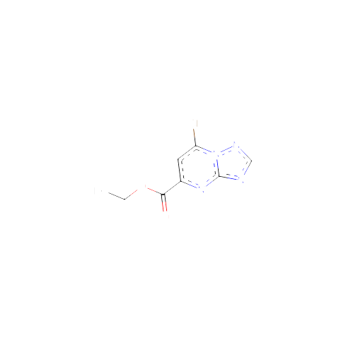 CCOC(=O)c1cc(S)n2ncnc2n1